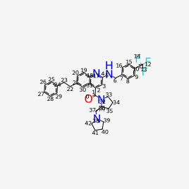 O=C(c1cc(NCc2ccc(C(F)(F)F)cc2)nc2ccc(CCc3ccccc3)cc12)N1CCC[C@H]1CN1CCCC1